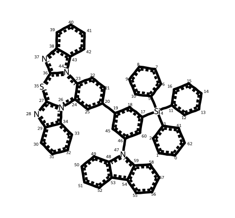 c1ccc([Si](c2ccccc2)(c2ccccc2)c2cc(-c3ccc4c(c3)n3c(nc5ccccc53)sc3nc5ccccc5n34)cc(-n3c4ccccc4c4ccccc43)c2)cc1